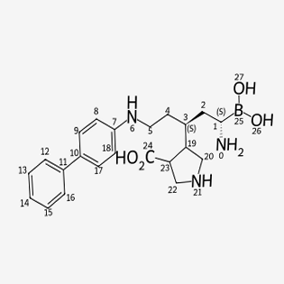 N[C@H](C[C@H](CCNc1ccc(-c2ccccc2)cc1)C1CNCC1C(=O)O)B(O)O